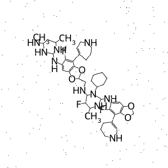 CNC1CC(C)NC(Nc2cc3c(c(C4=CCNCCC4)c2F)OC(CNC2C(F)C(C)NC(Nc4cc5c(c(C6=CCNCCC6)c4F)OCO5)N2C2CCCCC2)O3)N1